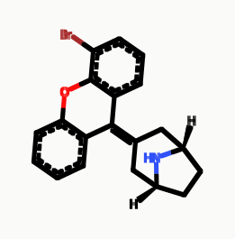 Brc1cccc2c1Oc1ccccc1/C2=C1\C[C@H]2CC[C@@H](C1)N2